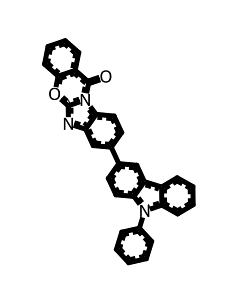 O=c1c2ccccc2oc2nc3cc(-c4ccc5c(c4)c4ccccc4n5-c4ccccc4)ccc3n12